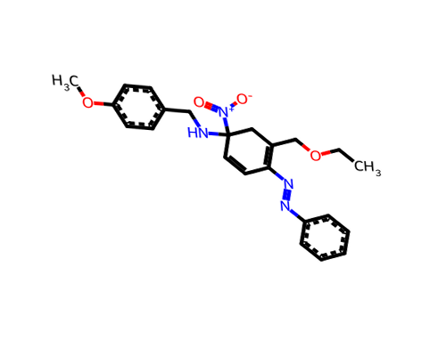 CCOCC1=C(N=Nc2ccccc2)C=CC(NCc2ccc(OC)cc2)([N+](=O)[O-])C1